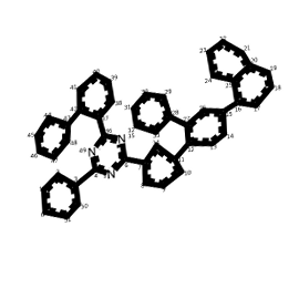 c1ccc(-c2nc(-c3cccc(-c4ccc(-c5cccc6ccccc56)cc4-c4ccccc4)c3)nc(-c3ccccc3-c3ccccc3)n2)cc1